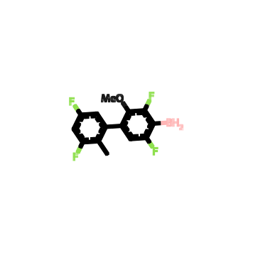 Bc1c(F)cc(-c2cc(F)cc(F)c2C)c(OC)c1F